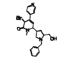 CN1C(=O)C(Br)C(c2ccncc2)=CC1C1CC(CO)N(Cc2ccccc2)C1